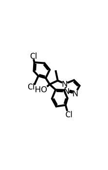 CC(n1ccnn1)C(O)(c1ccc(Cl)cc1)c1ccc(Cl)cc1Cl